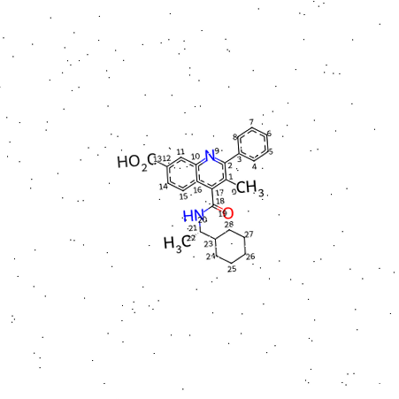 Cc1c(-c2ccccc2)nc2cc(C(=O)O)ccc2c1C(=O)N[C@@H](C)C1CCCCC1